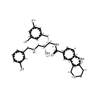 CCc1cccc(CNC[C@@H](O)[C@H](Cc2cc(F)cc(F)c2)NC(=O)c2ccc3[nH]c4c(c3c2)CSCC4)c1